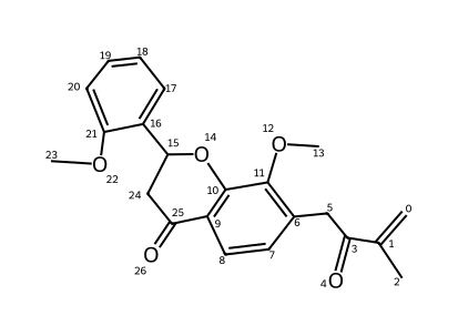 C=C(C)C(=O)Cc1ccc2c(c1OC)OC(c1ccccc1OC)CC2=O